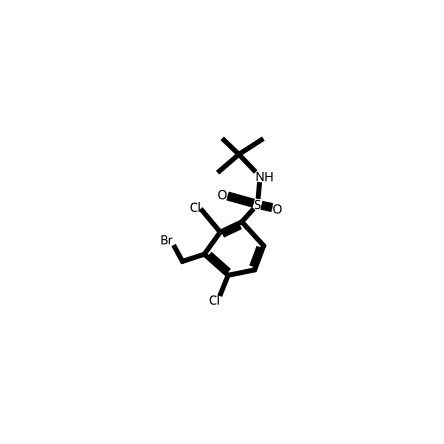 CC(C)(C)NS(=O)(=O)c1ccc(Cl)c(CBr)c1Cl